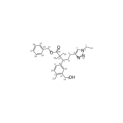 CCn1cc(CCC(c2ccc(C)c(CO)c2)C(C)(C)C(=O)OCc2ccccc2)nn1